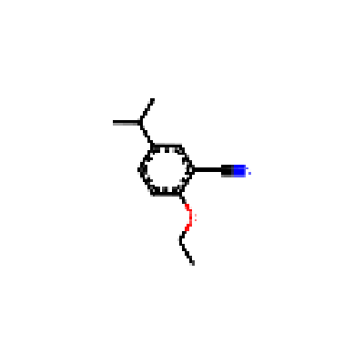 CCOc1ccc([C](C)C)cc1C#N